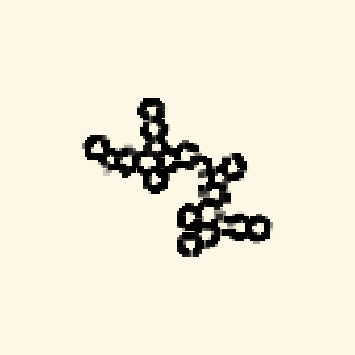 CC1(Cc2ccc3c(ccc4c3c3cc5ccccc5cc3n4-c3nc4c(nc3-c3ccccc3)sc3ccccc34)c2)c2ccccc2-c2nc(-n3c4cc5ccccc5cc4c4cc5ccccc5cc43)c(-c3ccccc3)nc21